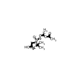 CC(=O)OC(C)O/N=[N+](\[O-])N(CC(=O)O)C(C)(C)C